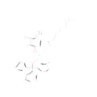 CCCCCCCCCCCCCCCCCCCC(COC(c1ccccc1)(c1ccccc1)c1ccccc1)Oc1ccc(C#N)c(F)c1